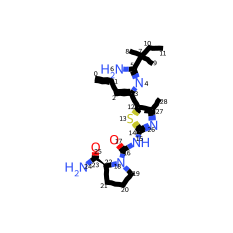 C=C/C=C(\N=C(/N)C(C)(C)CC)c1sc(NC(=O)N2CCC[C@H]2C(N)=O)nc1C